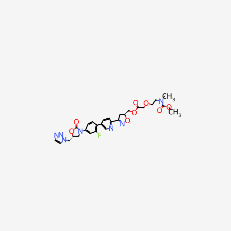 COC(=O)N(C)CCOCC(=O)OC[C@@H]1CC(c2ccc(-c3ccc(N4C[C@H](Cn5ccnn5)OC4=O)cc3F)cn2)=NO1